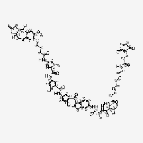 C=C1C[C@H]2C=Nc3cc(OCCCC(=O)Nc4cn(C)c(C(=O)Nc5cc(C(=O)Nc6cc(C(=O)n7ccc8cc(NC(=O)[C@H](C)NC(=O)[C@@H](NC(=O)CCOCCOCCNC(=O)CCN9C(=O)C=CC9=O)C(C)C)ccc87)n(C)c6)n(C)c5)n4)c(OC)cc3C(=O)N2C1